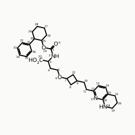 O=C(NC(CCOC1CC(CCc2ccc3c(n2)NCCC3)C1)C(=O)O)OC1CCCCC1c1ccccc1